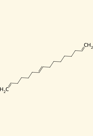 C=CCCCCC=CCCCCCCC=C